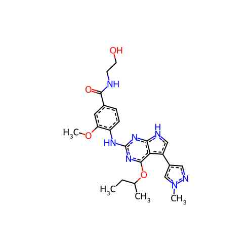 CCC(C)Oc1nc(Nc2ccc(C(=O)NCCO)cc2OC)nc2[nH]cc(-c3cnn(C)c3)c12